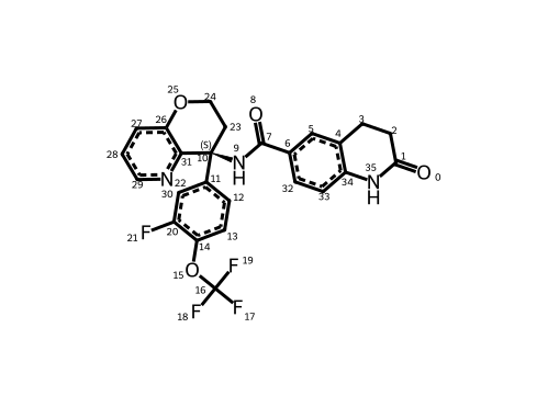 O=C1CCc2cc(C(=O)N[C@]3(c4ccc(OC(F)(F)F)c(F)c4)CCOc4cccnc43)ccc2N1